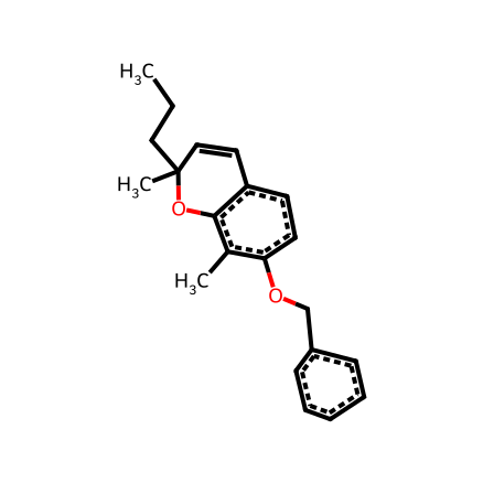 CCCC1(C)C=Cc2ccc(OCc3ccccc3)c(C)c2O1